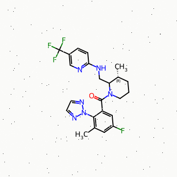 Cc1cc(F)cc(C(=O)N2CCC[C@@H](C)C2CNc2ccc(C(F)(F)F)cn2)c1-n1nccn1